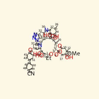 CC[C@H]1OC(=O)[C@H](C)[C@@H](O[C@H]2C[C@@](C)(OC)[C@@H](O)[C@H](C)O2)[C@H](C)[C@@H](O[C@@H]2C[C@H](C)C[C@H](N(C)CCc3cn(CCCOc4ccc(-c5ccc(C#N)cc5)cc4)nn3)[C@H]2O)[C@](C)(O)C[C@@H](C)CN(C)[C@H](C)[C@@H](O)[C@]1(C)O